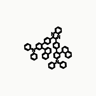 c1ccc(N(c2ccccc2)c2ccc(-c3ccc(-c4nc5ccccc5nc4-c4ccc(-c5ccc(N(c6ccccc6)c6ccccc6)cc5-c5cccc6ccccc56)cc4)cc3)c(-c3cccc4ccccc34)c2)cc1